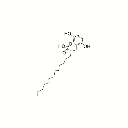 CCCCCCCCCCCCCC(Cc1cc(O)ccc1O)S(=O)(=O)O